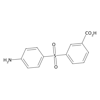 Nc1ccc(S(=O)(=O)c2cccc(C(=O)O)c2)cc1